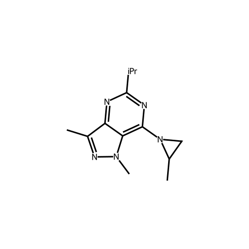 Cc1nn(C)c2c(N3CC3C)nc(C(C)C)nc12